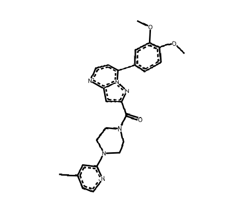 COc1ccc(-c2ccnc3cc(C(=O)N4CCN(c5cc(C)ccn5)CC4)nn23)cc1OC